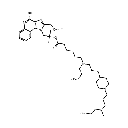 CCCCCCCCCCCCN(C)CCCN1CCN(CCCN(CCCCCCCCCCCC)CCCCCC(=O)OC(C)(C)Cn2c(COCC)nc3c(N)nc4ccccc4c32)CC1